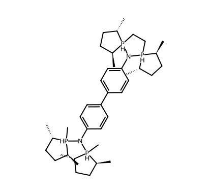 C[C@H]1CC[C@H](C)[PH]1(C)N(c1ccc(-c2ccc(N3[PH]4(CC[PH]35[C@@H](C)CC[C@@H]5C)[C@@H](C)CC[C@@H]4C)cc2)cc1)[PH]1(C)[C@@H](C)CC[C@@H]1C